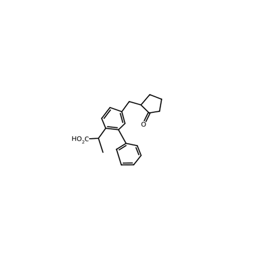 CC(C(=O)O)c1ccc(CC2CCCC2=O)cc1-c1ccccc1